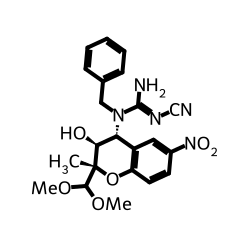 COC(OC)[C@@]1(C)Oc2ccc([N+](=O)[O-])cc2[C@@H](N(Cc2ccccc2)C(N)=NC#N)[C@@H]1O